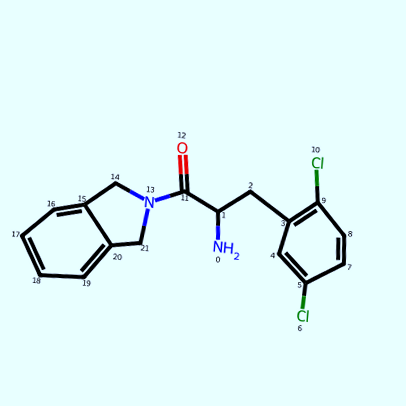 NC(Cc1cc(Cl)ccc1Cl)C(=O)N1Cc2ccccc2C1